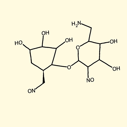 NCC1OC(OC2C(O)C(O)C(O)C[C@@H]2CN=O)C(N=O)C(O)C1O